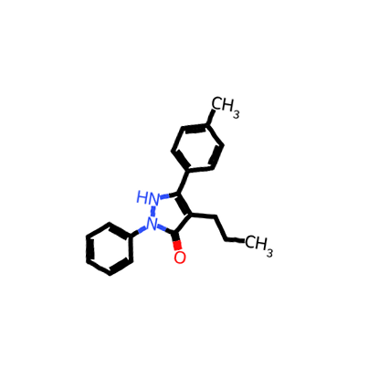 CCCc1c(-c2ccc(C)cc2)[nH]n(-c2ccccc2)c1=O